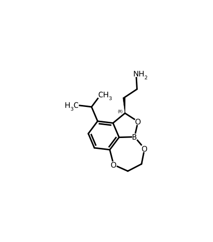 CC(C)c1ccc2c3c1[C@@H](CCN)OB3OCCO2